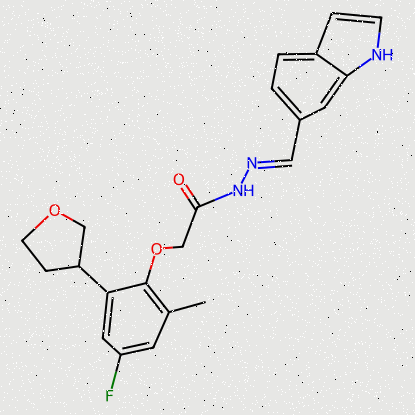 Cc1cc(F)cc(C2CCOC2)c1OCC(=O)NN=Cc1ccc2cc[nH]c2c1